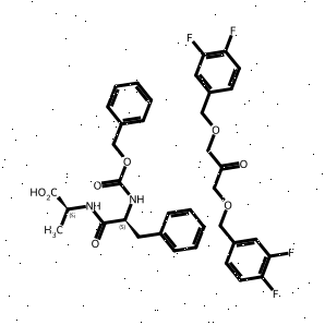 C[C@H](NC(=O)[C@H](Cc1ccccc1)NC(=O)OCc1ccccc1)C(=O)O.O=C(COCc1ccc(F)c(F)c1)COCc1ccc(F)c(F)c1